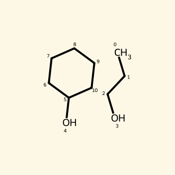 CCCO.OC1CCCCC1